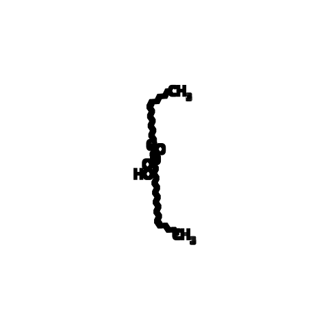 CCCC/C=C\CCCCCCCCCC(O)CC(=O)OCC(=O)OCCCCCCC/C=C\CCCCC